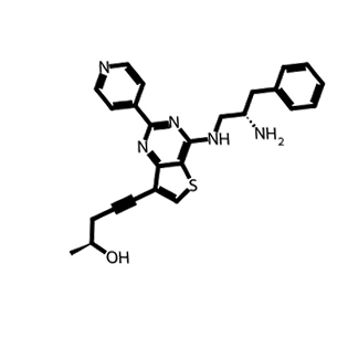 C[C@H](O)CC#Cc1csc2c(NC[C@@H](N)Cc3ccccc3)nc(-c3ccncc3)nc12